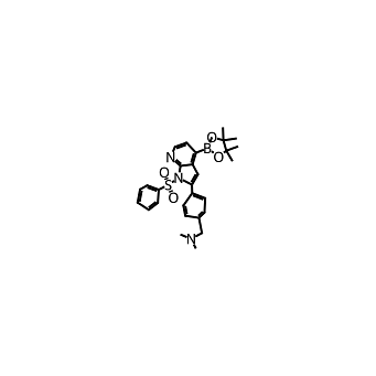 CN(C)Cc1ccc(-c2cc3c(B4OC(C)(C)C(C)(C)O4)ccnc3n2S(=O)(=O)c2ccccc2)cc1